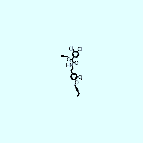 C#CCO[C@H](C(=O)NCCc1ccc(OCC#CCC)c(OC)c1)c1ccc(Cl)c(Cl)c1